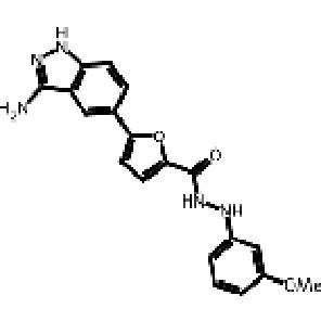 COc1cccc(NNC(=O)c2ccc(-c3ccc4[nH]nc(N)c4c3)o2)c1